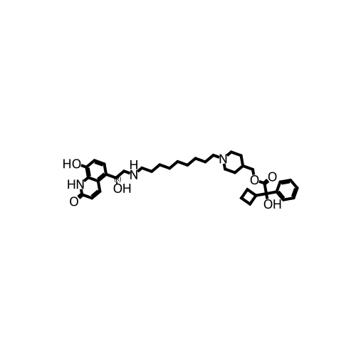 O=C(OCC1CCN(CCCCCCCCCNC[C@H](O)c2ccc(O)c3[nH]c(=O)ccc23)CC1)C(O)(c1ccccc1)C1CCC1